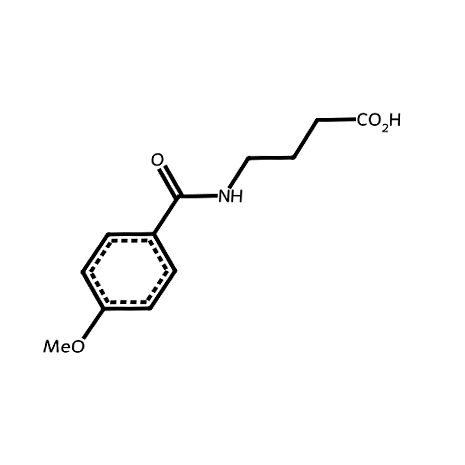 COc1ccc(C(=O)NCCCC(=O)O)cc1